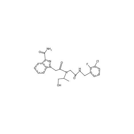 CC(CO)N(CC(=O)NCc1cccc(Cl)c1F)C(=O)Cn1nc(C(N)=O)c2ccccc21